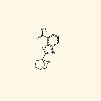 NC(=O)c1cccc2[nH]c(C34COC(CN3)C4)nc12